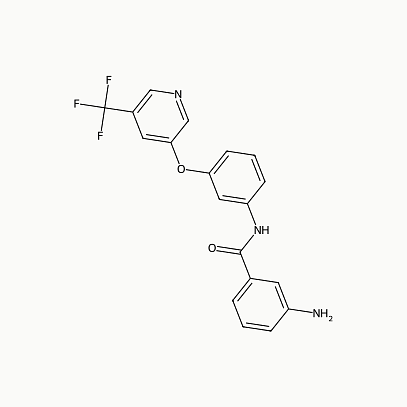 Nc1cccc(C(=O)Nc2cccc(Oc3cncc(C(F)(F)F)c3)c2)c1